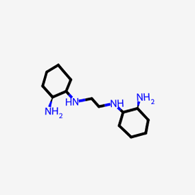 N[C@H]1CCCCC1NCCNC1CCCC[C@@H]1N